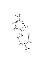 CCc1cnc(N2CCN(C(C)=O)CC2)nc1